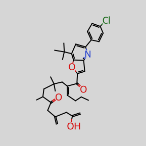 C=C(O)CC(=C)CC(=O)C(C)CC(C)(C)C/C(=C/CCC)C(=O)c1cc2nc(-c3ccc(Cl)cc3)cc(C(C)(C)C)c2o1